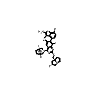 Cc1c(N)sc2c(F)ccc(-c3c(Cl)cc4c(N5C[C@H]6CC[C@@H](C5)N6)nc(OC[C@@]56CCCN5C[C@H](F)C6)nc4c3F)c12